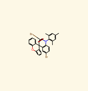 Cc1cc(C)c(N2c3ccc(Br)cc3C3(c4ccccc4Oc4ccccc43)c3cc(Br)ccc32)c(C)c1